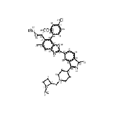 CC(=O)N1CCC1CN1CCC(C2=NC(C)c3ccc(-c4nc5cc(C)c([C@H](OC(C)(C)C)C(=O)O)c(-c6ccc(Cl)cc6)c5s4)cc32)CC1